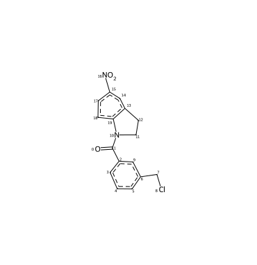 O=C(c1cccc(CCl)c1)N1CCc2cc([N+](=O)[O-])ccc21